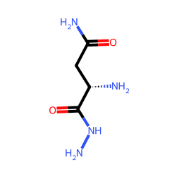 NNC(=O)[C@@H](N)CC(N)=O